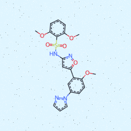 COc1ccc(-n2cccn2)cc1-c1cc(NS(=O)(=O)c2c(OC)cccc2OC)no1